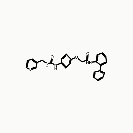 O=C(COc1ccc(NC(=O)NCc2cccnc2)cc1)Nc1ccccc1-c1ccccc1